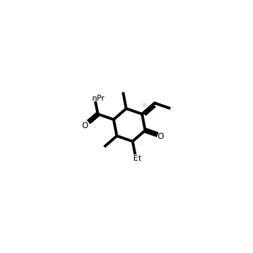 C/C=C1\C(=O)C(CC)C(C)C(C(=O)CCC)C1C